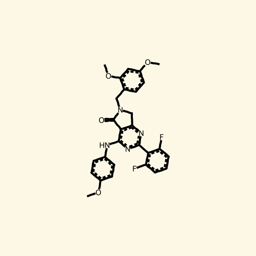 COc1ccc(Nc2nc(-c3c(F)cccc3F)nc3c2C(=O)N(Cc2ccc(OC)cc2OC)C3)cc1